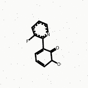 [O]C1C=CC=C(c2ncccc2F)C1=O